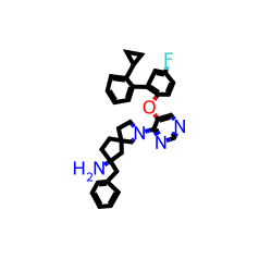 NC1(Cc2ccccc2)CCC2(CCN(c3ncncc3Oc3ccc(F)cc3-c3ccccc3C3CC3)C2)C1